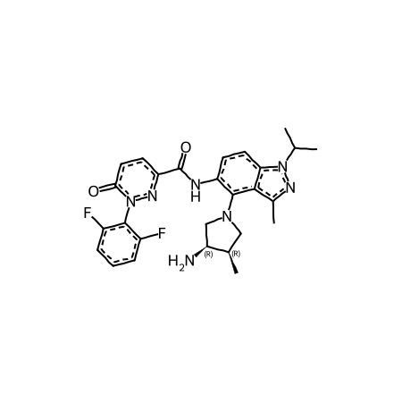 Cc1nn(C(C)C)c2ccc(NC(=O)c3ccc(=O)n(-c4c(F)cccc4F)n3)c(N3C[C@@H](C)[C@@H](N)C3)c12